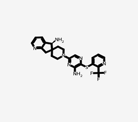 Nc1nc(N2CCC3(CC2)Cc2ncccc2[C@H]3N)cnc1Sc1cccnc1C(F)(F)F